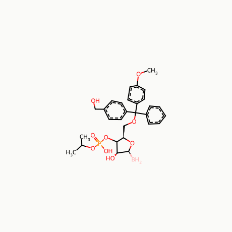 B[C@@H]1O[C@H](COC(c2ccccc2)(c2ccc(CO)cc2)c2ccc(OC)cc2)C(OP(=O)(O)OC(C)C)[C@@H]1O